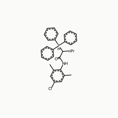 CCCC(C(=O)Nc1c(C)cc(Cl)cc1C)[PH](c1ccccc1)(c1ccccc1)c1ccccc1